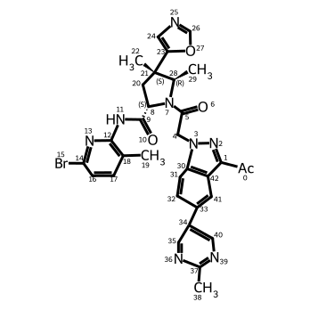 CC(=O)c1nn(CC(=O)N2[C@H](C(=O)Nc3nc(Br)ccc3C)C[C@](C)(c3cnco3)[C@H]2C)c2ccc(-c3cnc(C)nc3)cc12